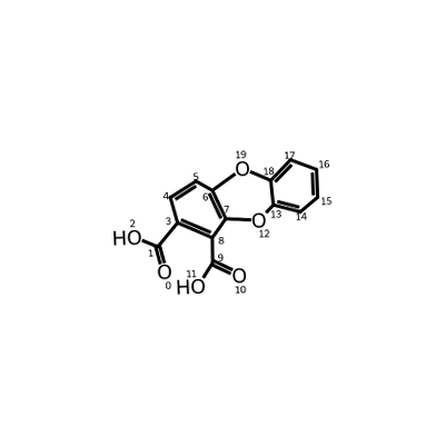 O=C(O)c1ccc2c(c1C(=O)O)Oc1ccccc1O2